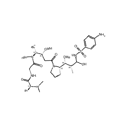 CCCCN(C(=O)CNC(=O)[C@H](C(C)C)N(C)C)[C@@H]([C@@H](C)CC)[C@@H](CC(=O)N1CCC[C@H]1[C@H](OC)[C@@H](C)C(O)NS(=O)(=O)c1ccc(N)cc1)OC